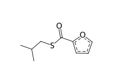 CC(C)CSC(=O)c1ccco1